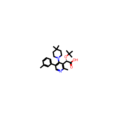 Cc1cccc(-c2cnc(C)c([C@H](OC(C)(C)C)C(=O)O)c2N2CCC(C)(C)CC2)c1